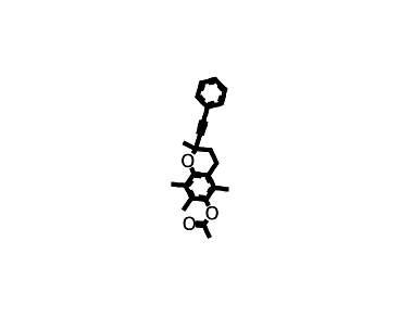 CC(=O)Oc1c(C)c(C)c2c(c1C)CCC(C)(C#Cc1ccccc1)O2